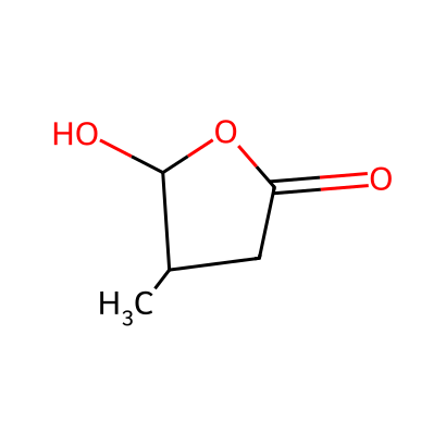 CC1CC(=O)OC1O